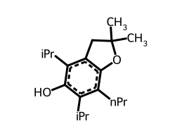 CCCc1c2c(c(C(C)C)c(O)c1C(C)C)CC(C)(C)O2